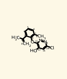 C=C(C)c1cccc(C)c1Oc1nnc(Cl)cc1O